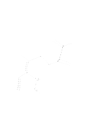 C=C/C(NN)=C(\C)CCC(=C)C(=C)C